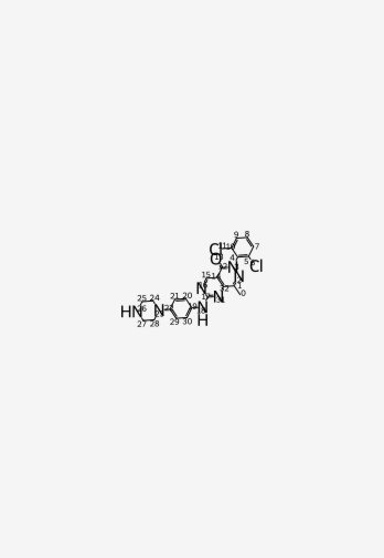 Cc1nn(-c2c(Cl)cccc2Cl)c(=O)c2cnc(Nc3ccc(N4CCNCC4)cc3)nc12